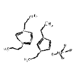 CCn1cc[n+](CC)c1.CCn1cc[n+](CC)c1.[Br][Hg-2]([Br])([Br])[Br]